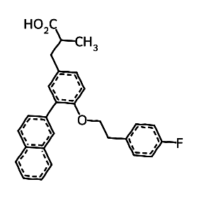 CC(Cc1ccc(OCCc2ccc(F)cc2)c(-c2ccc3ccccc3c2)c1)C(=O)O